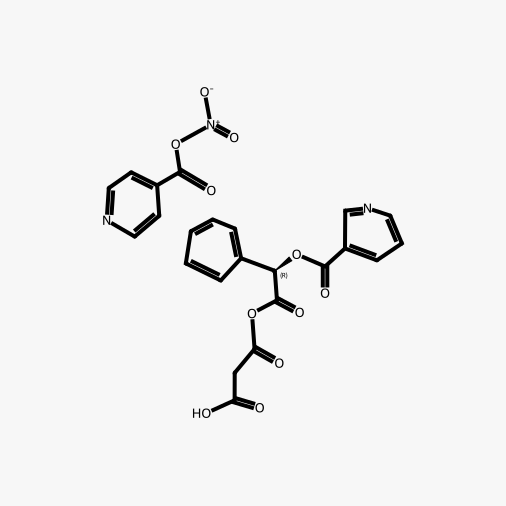 O=C(O)CC(=O)OC(=O)[C@H](OC(=O)c1cccnc1)c1ccccc1.O=C(O[N+](=O)[O-])c1ccncc1